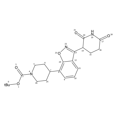 CC(C)(C)OC(=O)N1CCC(c2cccc3c(C4CCC(=O)NC4=O)noc23)CC1